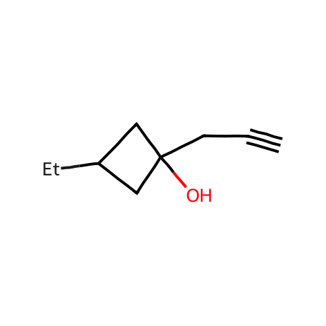 C#CCC1(O)CC(CC)C1